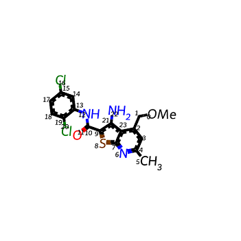 COCc1cc(C)nc2sc(C(=O)Nc3cc(Cl)ccc3Cl)c(N)c12